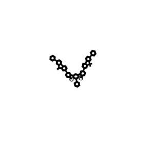 C=C1c2cc(-c3ccccc3)ccc2-c2ccc(-c3ccc4oc5c(-c6ccccc6)c6oc7ccc(-c8ccc9c(c8)C(C)(C)c8cc(-c%10ccccc%10)ccc8-9)cc7c6cc5c4c3)cc21